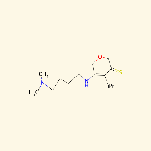 CC(C)C1=C(NCCCCN(C)C)COCC1=S